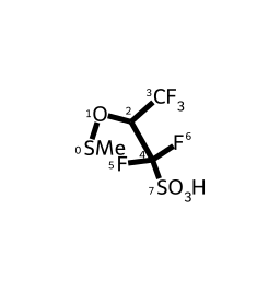 CSOC(C(F)(F)F)C(F)(F)S(=O)(=O)O